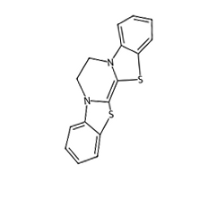 c1ccc2c(c1)SC1=C3Sc4ccccc4N3CCN12